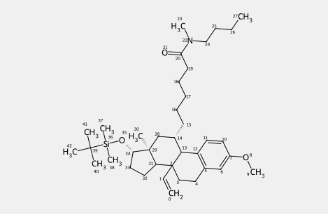 C=CC12CCc3cc(OC)ccc3C1[C@@H](CCCCCC(=O)N(C)CCCC)C[C@@]1(C)C2CC[C@@H]1O[Si](C)(C)C(C)(C)C